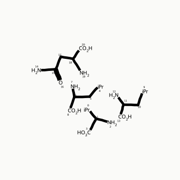 CC(C)C(N)C(=O)O.CC(C)CC(N)C(=O)O.CC(C)CC(N)C(=O)O.NC(=O)CC(N)C(=O)O